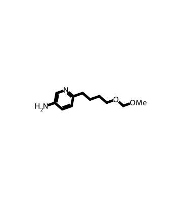 COCOCCCCc1ccc(N)cn1